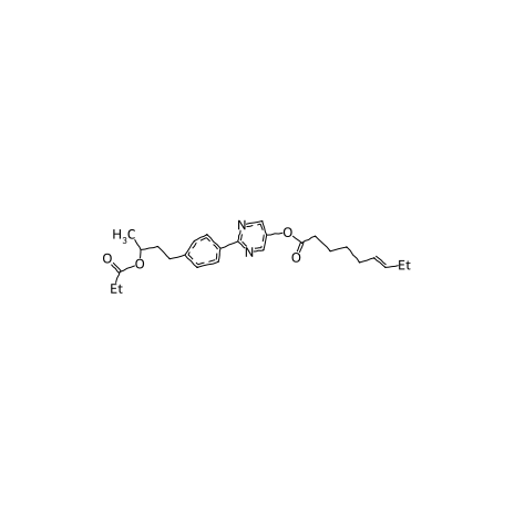 CCC=CCCCCC(=O)Oc1cnc(-c2ccc(CCC(C)OC(=O)CC)cc2)nc1